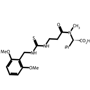 COc1cccc(OC)c1CNC(=S)NCCC(=O)N(C)[C@H](C(=O)O)C(C)C